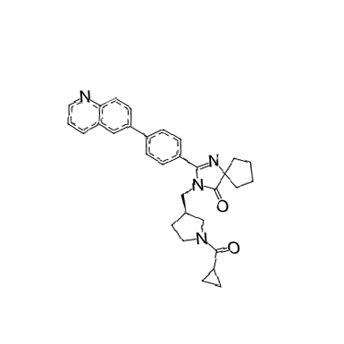 O=C(C1CC1)N1CC[C@@H](CN2C(=O)C3(CCCC3)N=C2c2ccc(-c3ccc4ncccc4c3)cc2)C1